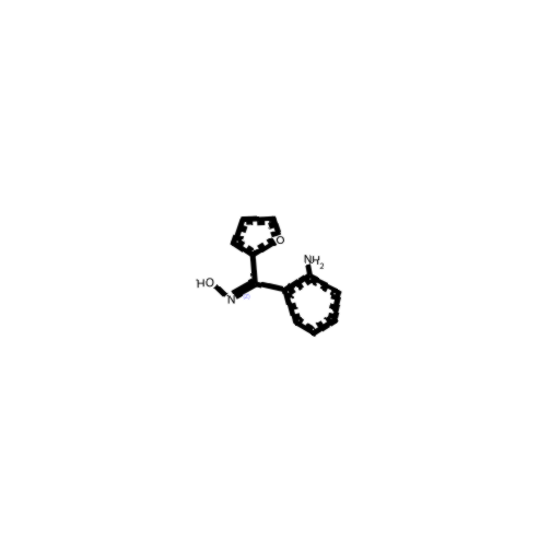 Nc1ccccc1/C(=N/O)c1ccco1